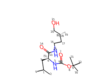 CC(C)C[C@H](NC(=O)OC(C)(C)C)C(=O)NCC[C@@H](C)CO